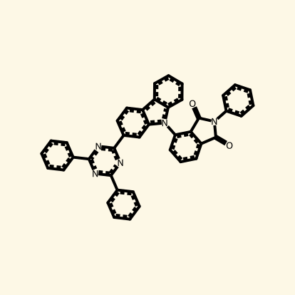 O=C1c2cccc(-n3c4ccccc4c4ccc(-c5nc(-c6ccccc6)nc(-c6ccccc6)n5)cc43)c2C(=O)N1c1ccccc1